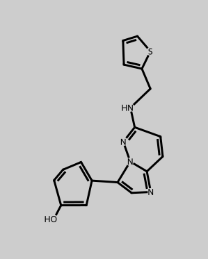 Oc1cccc(-c2cnc3ccc(NCc4cccs4)nn23)c1